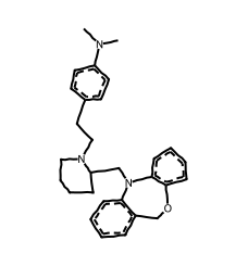 CN(C)c1ccc(CCN2CCCCC2CN2c3ccccc3COc3ccccc32)cc1